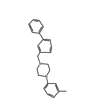 Cc1cccc(N2CCN(Cc3cccc(-c4ccccc4)c3)CC2)c1